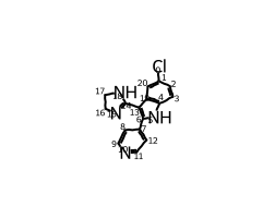 Clc1ccc2[nH]c(-c3ccncc3)c(C3=NCCN3)c2c1